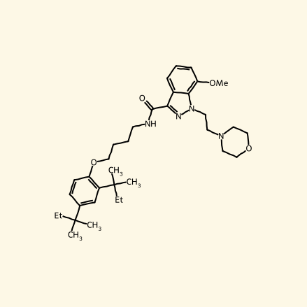 CCC(C)(C)c1ccc(OCCCCNC(=O)c2nn(CCN3CCOCC3)c3c(OC)cccc23)c(C(C)(C)CC)c1